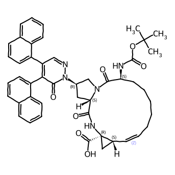 CC(C)(C)OC(=O)N[C@H]1CCCCC/C=C\[C@@H]2C[C@@]2(C(=O)O)NC(=O)[C@@H]2C[C@@H](n3ncc(-c4cccc5ccccc45)c(-c4cccc5ccccc45)c3=O)CN2C1=O